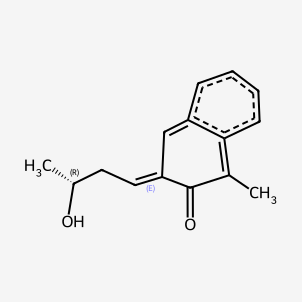 CC1=c2ccccc2=C/C(=C\C[C@@H](C)O)C1=O